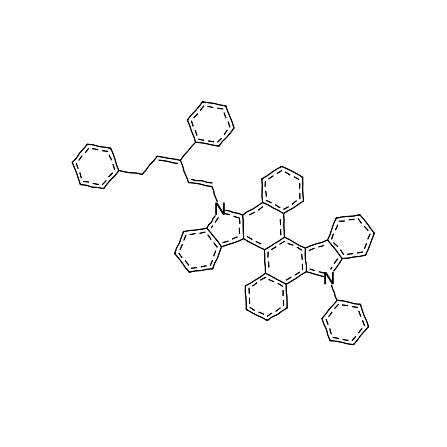 C(=C\n1c2ccccc2c2c3c4ccccc4c4c(c5ccccc5n4-c4ccccc4)c3c3ccccc3c21)/C(=C\Cc1ccccc1)c1ccccc1